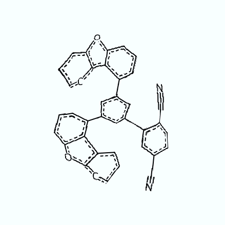 N#Cc1ccc(C#N)c(-c2cc(-c3cccc4oc5ccccc5c34)cc(-c3cccc4oc5ccccc5c34)c2)c1